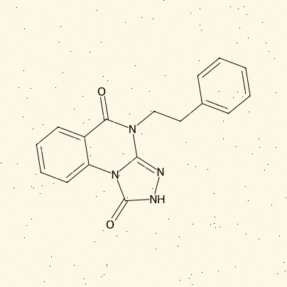 O=c1c2ccccc2n2c(=O)[nH]nc2n1CCc1ccccc1